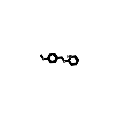 COc1ccc(CO[C]2C=CC=CN2)cc1